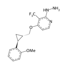 COc1ccccc1[C@H]1C[C@@H]1COc1ccnc(NN)c1C(F)(F)F